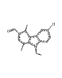 CCn1c2ccc(Cl)cc2c2c(C)c(C=O)cc(C)c21